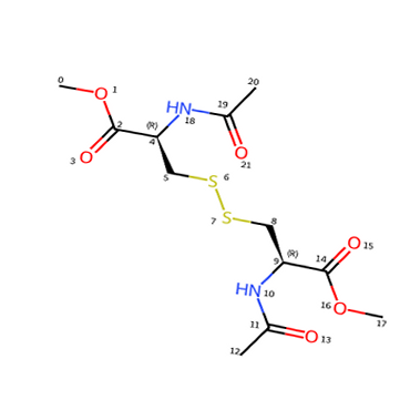 COC(=O)[C@H](CSSC[C@H](NC(C)=O)C(=O)OC)NC(C)=O